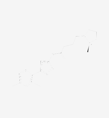 Cc1ccc(-c2cc(NC(=O)CCCN3CCC[C@H]3C)[nH]n2)c(Cl)c1